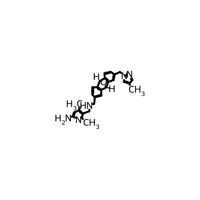 Cc1cnn(Cc2ccc3c(c2)[C@H]2O[C@@H]3c3ccc(CNCc4c(C)cc(N)nc4C)cc32)c1